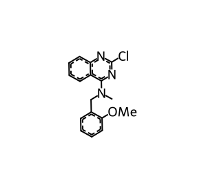 COc1ccccc1CN(C)c1nc(Cl)nc2ccccc12